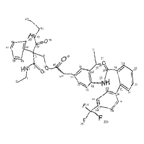 CCNC(=O)C(COC(=O)Cc1ccc(NC(=O)c2ccccc2-c2ccc(C(F)(F)F)cc2)c(C(C)C)c1)(C(=O)NCC)c1ccccc1